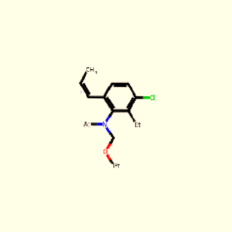 C/C=C\c1ccc(Cl)c(CC)c1N(COC(C)C)C(C)=O